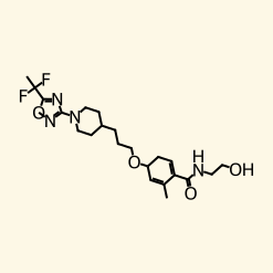 CC1=CC(OCCCC2CCN(c3noc(C(C)(F)F)n3)CC2)CC=C1C(=O)NCCO